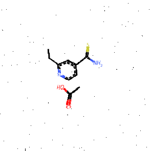 CC(=O)O.CCc1cc(C(N)=S)ccn1